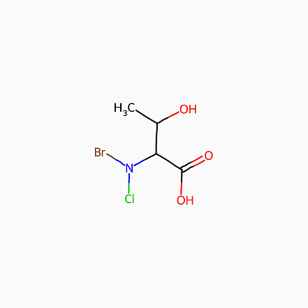 CC(O)C(C(=O)O)N(Cl)Br